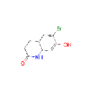 O=C1CCC2C=C(Br)C(O)=CC2N1